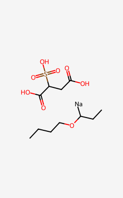 CCCCO[CH]([Na])CC.O=C(O)CC(C(=O)O)S(=O)(=O)O